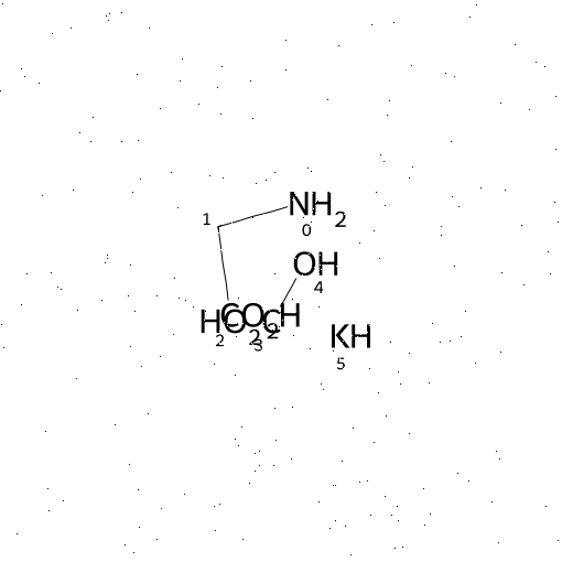 NCC(=O)O.O=C(O)O.[KH]